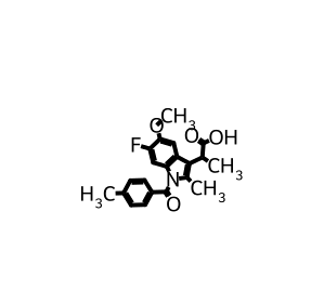 COc1cc2c(C(C)C(=O)O)c(C)n(C(=O)c3ccc(C)cc3)c2cc1F